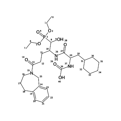 CCOP(=O)(OCC)C(O)C(CCC(=O)N1CCCc2ccccc2C1)NC(=O)C(CC1CCCCC1)NC(=O)O